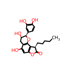 CCCCC[C@H]1C(=O)Oc2cc(O)c3c(c21)O[C@H](c1ccc(O)c(O)c1)[C@H](O)C3